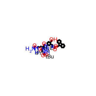 CC(C)[C@H](NC(=O)OC(C)(C)C)C(=O)N[C@@H](CCCNC(N)=O)C(=O)Nc1ccc(CO)c(CN(C)C(=O)OCC2c3ccccc3-c3ccccc32)c1